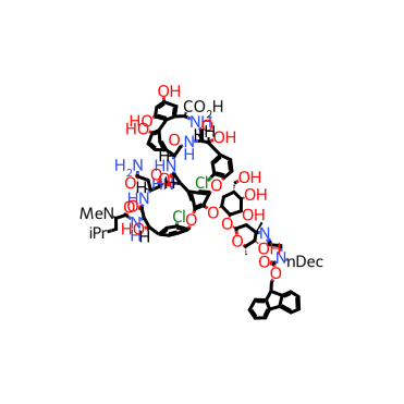 CCCCCCCCCCN(CC=N[C@@]1(C)C[C@H](O[C@@H]2[C@@H](O)[C@H](O)[C@@H](CO)C[C@H]2Oc2c3cc4cc2Oc2ccc(cc2Cl)[C@@H](O)[C@@H]2NC(=O)[C@H](NC(=O)[C@@H]4NC(=O)[C@H](CC(N)=O)NC(=O)C(NC(=O)[C@@H](CC(C)C)NC)[C@H](O)c4ccc(c(Cl)c4)O3)c3ccc(O)c(c3)-c3c(O)cc(O)cc3[C@@H](C(=O)O)NC2=O)O[C@@H](C)[C@H]1O)C(=O)OCC1c2ccccc2-c2ccccc21